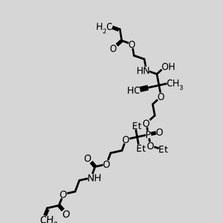 C#CC(C)(OCCOP(=O)(OCC)C(CC)(CC)OCCOC(=O)NCCOC(=O)C=C)C(O)NCCOC(=O)C=C